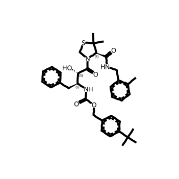 Cc1ccccc1CNC(=O)[C@H]1N(C(=O)[C@@H](O)[C@H](Cc2ccccc2)NC(=O)OCc2ccc(C(C)(C)C)cc2)CSC1(C)C